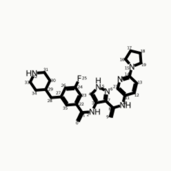 C=C(Nc1c[nH]nc1C(=C)Nc1ccc(N2CCCC2)nc1)c1cc(F)cc(CC2CCNCC2)c1